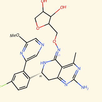 COc1cncc(-c2cc(F)ccc2[C@H]2Cc3nc(N)nc(C)c3/C(=N/OCC3OCC(O)C3O)N2)n1